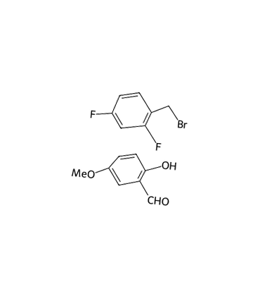 COc1ccc(O)c(C=O)c1.Fc1ccc(CBr)c(F)c1